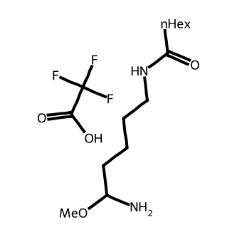 CCCCCCC(=O)NCCCCC(N)OC.O=C(O)C(F)(F)F